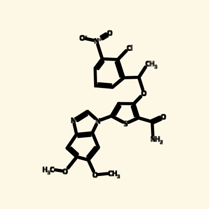 COc1cc2ncn(-c3cc(OC(C)c4cccc([N+](=O)[O-])c4Cl)c(C(N)=O)s3)c2cc1OC